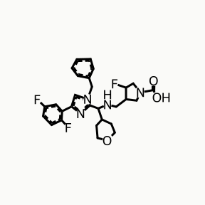 O=C(O)N1CC(F)C(CNC(c2nc(-c3cc(F)ccc3F)cn2Cc2ccccc2)C2CCOCC2)C1